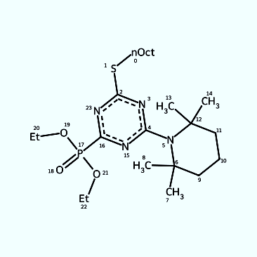 CCCCCCCCSc1nc(N2C(C)(C)CCCC2(C)C)nc(P(=O)(OCC)OCC)n1